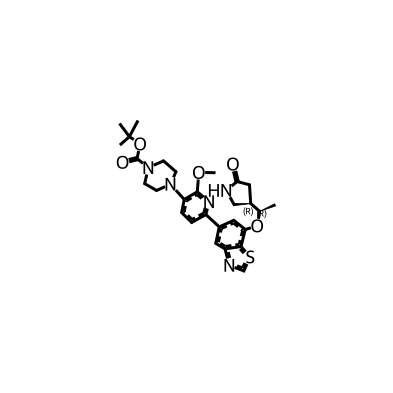 COc1nc(-c2cc(O[C@H](C)[C@H]3CNC(=O)C3)c3scnc3c2)ccc1N1CCN(C(=O)OC(C)(C)C)CC1